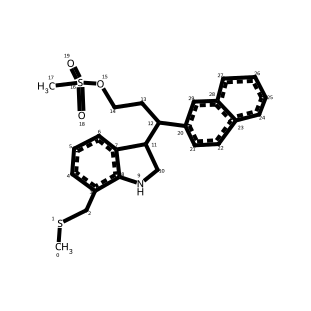 CSCc1cccc2c1NCC2C(CCOS(C)(=O)=O)c1ccc2ccccc2c1